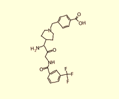 NC(C(=O)CNC(=O)c1cccc(C(F)(F)F)c1)C1CCN(Cc2ccc(C(=O)O)cc2)CC1